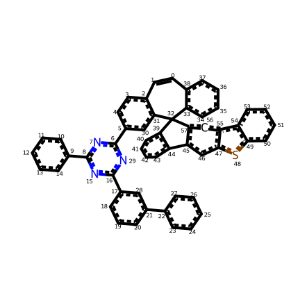 C1=Cc2ccc(-c3nc(-c4ccccc4)nc(-c4cccc(-c5ccccc5)c4)n3)cc2C2(c3ccccc31)c1ccccc1-c1cc3sc4ccccc4c3cc12